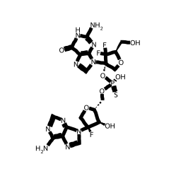 Nc1nc2c(ncn2[C@]2(OP(O)(=S)OC[C@H]3OC[C@@](F)(n4cnc5c(N)ncnc54)[C@@H]3O)CO[C@H](CO)C2(F)F)c(=O)[nH]1